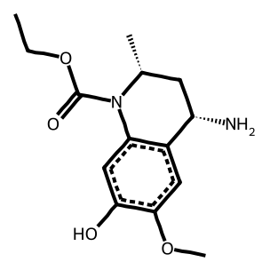 CCOC(=O)N1c2cc(O)c(OC)cc2[C@@H](N)C[C@H]1C